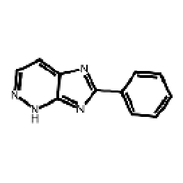 c1ccc(-c2nc3ccn[nH]c-3n2)cc1